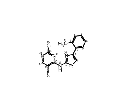 Cc1ccccc1-c1csc(Nc2nc(Cl)ncc2F)n1